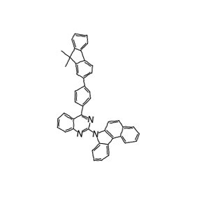 CC1(C)c2ccccc2-c2ccc(-c3ccc(-c4nc(-n5c6ccccc6c6c7ccccc7ccc65)nc5ccccc45)cc3)cc21